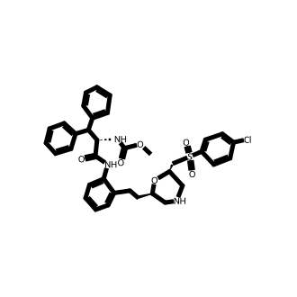 COC(=O)N[C@H](C(=O)Nc1ccccc1CC[C@@H]1CNC[C@@H](CS(=O)(=O)c2ccc(Cl)cc2)O1)C(c1ccccc1)c1ccccc1